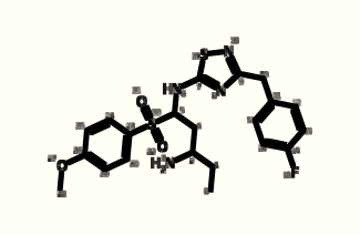 CCC(N)CC(Nc1nc(Cc2ccc(F)cc2)ns1)S(=O)(=O)c1ccc(OC)cc1